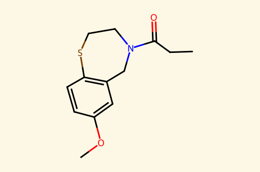 CCC(=O)N1CCSc2ccc(OC)cc2C1